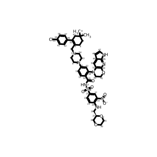 CC1(C)CCC(CN2CCN(c3ccc(C(=O)NS(=O)(=O)c4ccc(NC[C@@H]5COCCO5)c([N+](=O)[O-])c4)c(N4CCOc5nc6[nH]ccc6cc54)c3)CC2)=C(c2ccc(Cl)cc2)C1